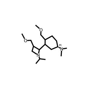 COCC1CC[C@@H](N(C)C)CC1C1C(COC)CN1C(C)C